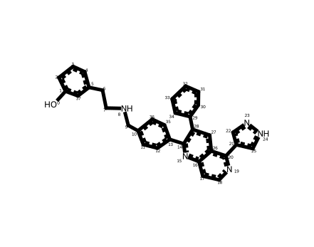 Oc1cccc(CCNCc2ccc(-c3nc4ccnc(-c5cn[nH]c5)c4cc3-c3ccccc3)cc2)c1